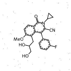 COc1ccc2c(=O)n(C3CC3)c(C#N)c(-c3cccc(F)c3)c2c1CC(O)CO